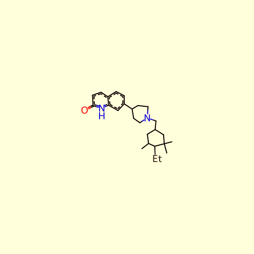 CCC1C(C)CC(CN2CCC(c3ccc4ccc(=O)[nH]c4c3)CC2)CC1(C)C